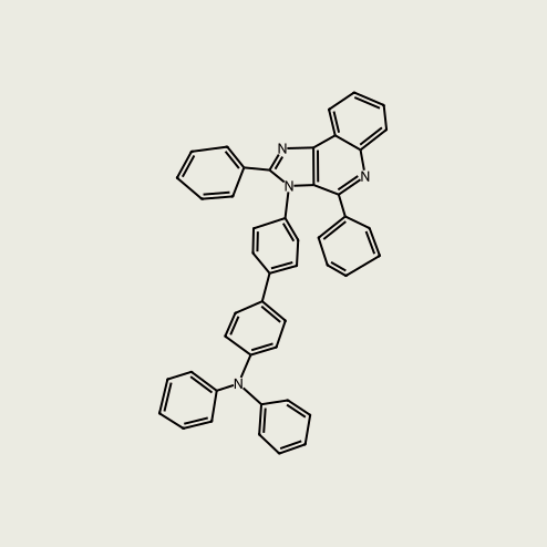 c1ccc(-c2nc3ccccc3c3nc(-c4ccccc4)n(-c4ccc(-c5ccc(N(c6ccccc6)c6ccccc6)cc5)cc4)c23)cc1